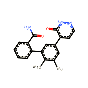 COc1c(-c2ccccc2C(N)=O)cc(-c2ccn[nH]c2=O)cc1C(C)(C)C